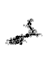 CC[C@H](C)[C@@H]([C@@H](CC(=O)N1CCC[C@H]1[C@H](OC)[C@@H](C)C(=O)N[C@@H](Cc1ccccc1)C(=O)NCCc1ccc(NC(=O)[C@H](CCCNC(N)=O)NC(=O)[C@@H](NC(=O)CCC(=O)N2CCC(C(=O)NC(C)C)CC2C)C(C)C)cc1)OC)N(C)C(=O)[C@@H](NC(=O)[C@H](C(C)C)N(C)C)C(C)C